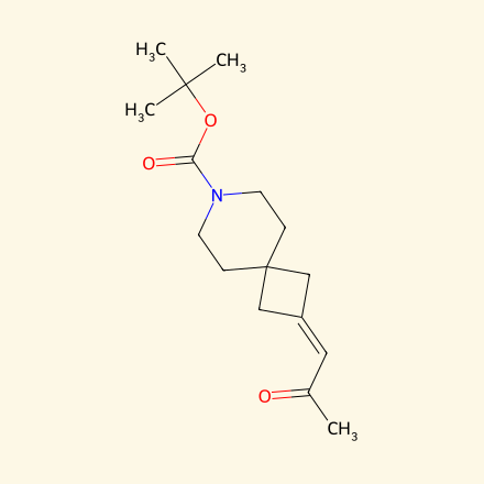 CC(=O)C=C1CC2(CCN(C(=O)OC(C)(C)C)CC2)C1